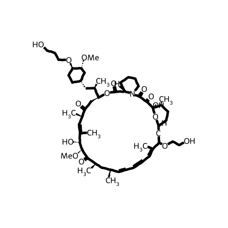 CO[C@@H]1C[C@H](C[C@@H](C)[C@@H]2CC(=O)[C@H](C)/C=C(\C)[C@@H](O)[C@@H](OC)C(=O)[C@H](C)C[C@H](C)/C=C/C=C/C=C(\C)C(OCCO)C[C@@H]3CC[C@@H](C)[C@@](O)(O3)C(=O)C(=O)N3CCCC[C@H]3C(=O)O2)CC[C@H]1OCCCO